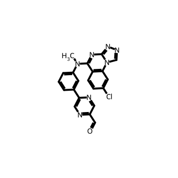 CN(c1cccc(-c2cnc(C=O)cn2)c1)c1nc2nncn2c2cc(Cl)ccc12